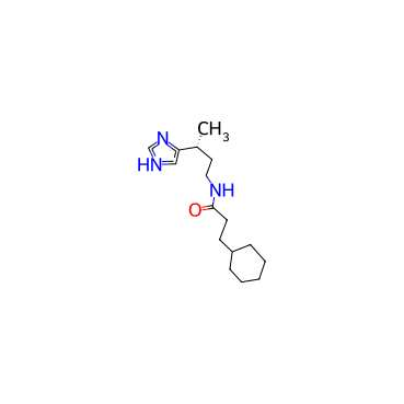 C[C@H](CCNC(=O)CCC1CCCCC1)c1c[nH]cn1